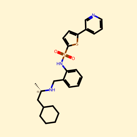 C[C@@H](CC1CCCCC1)NCc1ccccc1NS(=O)(=O)c1ccc(-c2cccnc2)s1